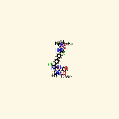 COC(=O)N[C@H](C(=O)N1[C@@H]2C[C@@H]2C[C@H]1c1nc(Cl)c(-c2ccc(-c3ccc(-c4[nH]c([C@@H]5C[C@H]6C[C@H]6N5C(=O)OC(C)(C)C)nc4Cl)cc3)cc2)[nH]1)C1CCOCC1